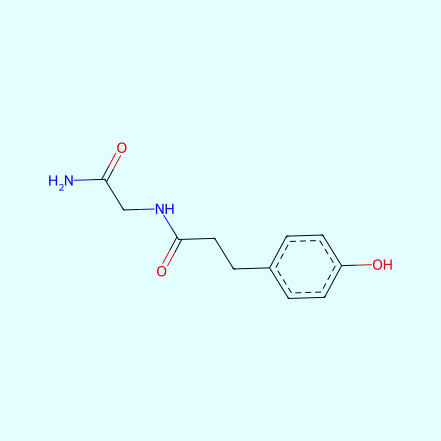 NC(=O)CNC(=O)CCc1ccc(O)cc1